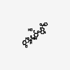 Cl.O=C(Cc1c(F)cccc1Cl)NC(=S)Nc1ccc(Oc2ccnc3cc(C(=O)N4CCCC4)sc23)c(F)c1